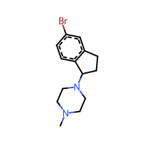 CN1CCN(C2CCc3cc(Br)ccc32)CC1